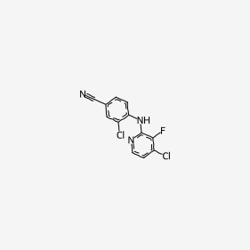 N#Cc1ccc(Nc2nccc(Cl)c2F)c(Cl)c1